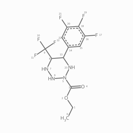 CCOC(=O)N1NNC(C(F)(F)F)C(c2cc(F)c(F)c(F)c2)N1